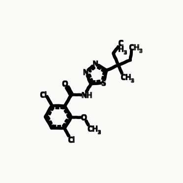 CCC(C)(CC)c1nnc(NC(=O)c2c(Cl)ccc(Cl)c2OC)s1